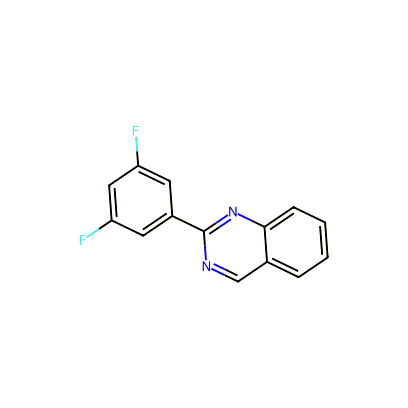 Fc1cc(F)cc(-c2ncc3ccccc3n2)c1